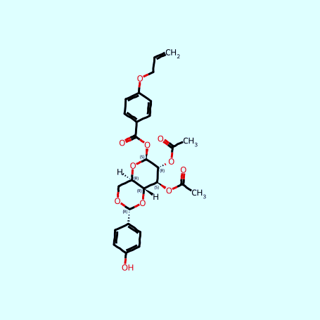 C=CCOc1ccc(C(=O)O[C@@H]2O[C@@H]3CO[C@@H](c4ccc(O)cc4)O[C@H]3[C@H](OC(C)=O)[C@H]2OC(C)=O)cc1